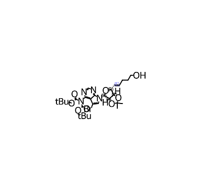 CC(C)(C)OC(=O)N(C(=O)OC(C)(C)C)c1ncnc2c1c(Br)cn2[C@@H]1O[C@H](/C=C/CCCO)[C@H]2OC(C)(C)O[C@H]21